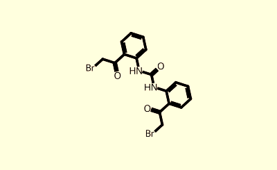 O=C(Nc1ccccc1C(=O)CBr)Nc1ccccc1C(=O)CBr